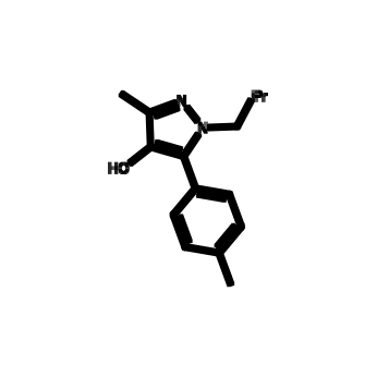 Cc1ccc(-c2c(O)c(C)nn2CC(C)C)cc1